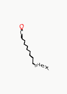 CCC[CH]CCCCCCCCCCC=C=O